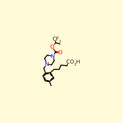 Cc1ccc(CN2CCN(C(=O)OC(C)C(F)(F)F)CC2)c(CCCCC(=O)O)c1